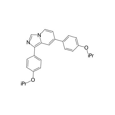 CC(C)Oc1ccc(-c2ccn3cnc(-c4ccc(OC(C)C)cc4)c3c2)cc1